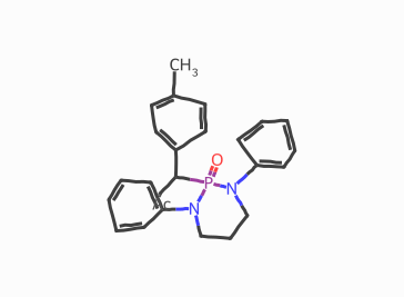 CC(=O)CC(c1ccc(C)cc1)P1(=O)N(c2ccccc2)CCCN1c1ccccc1